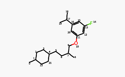 CC1CCC(CCC(C)COc2cc(F)cc(C(C)C)c2)CC1